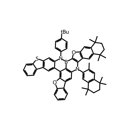 Cc1cc2c(cc1N1c3cc4c(oc5ccccc54)c4c3B(c3oc5cc6c(cc5c31)C(C)(C)CCC6(C)C)N(c1ccc(C(C)(C)C)cc1)c1cc3sc5ccccc5c3cc1-4)C(C)(C)CCC2(C)C